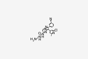 Cc1cc(-c2c(-c3cccc(C#N)c3)nn3ccc(NC(=O)NCCN)nc23)cc(Cl)n1